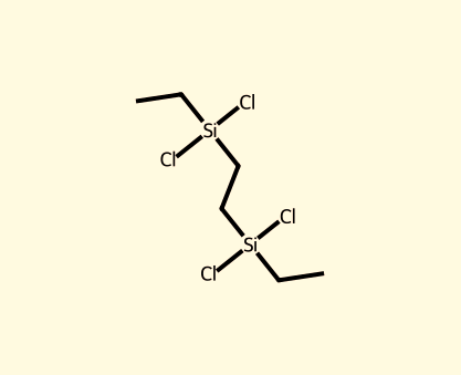 CC[Si](Cl)(Cl)CC[Si](Cl)(Cl)CC